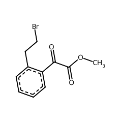 COC(=O)C(=O)c1ccccc1CCBr